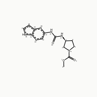 COC(=O)N1CC[C@H](NC(=O)Nc2cnc3[nH]ccc3n2)C1